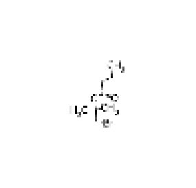 CCCC(=O)OC(C)(C)CBr